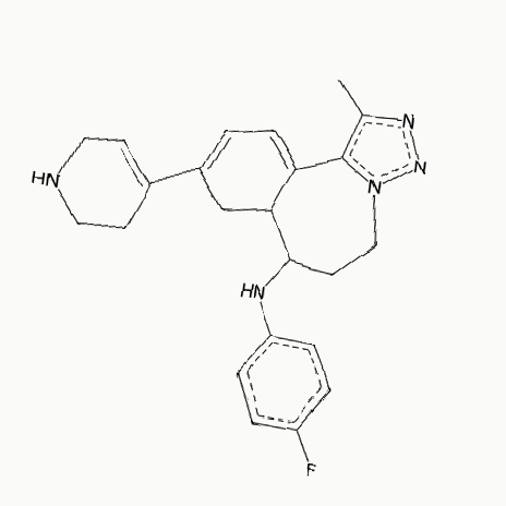 Cc1nnn2c1C1=CC=C(C3=CCNCC3)CC1C(Nc1ccc(F)cc1)CC2